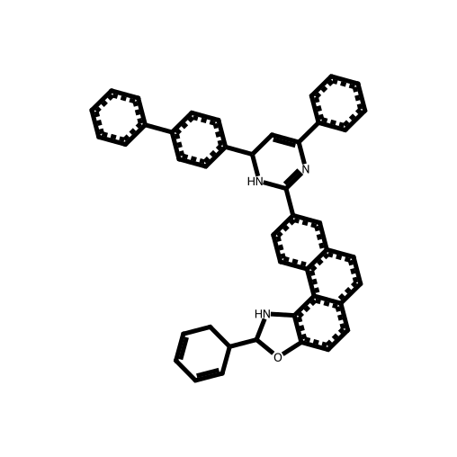 C1=CCC(C2Nc3c(ccc4ccc5cc(C6=NC(c7ccccc7)=CC(c7ccc(-c8ccccc8)cc7)N6)ccc5c34)O2)C=C1